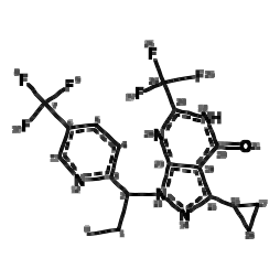 CCC(c1ccc(C(F)(F)F)cn1)n1nc(C2CC2)c2c(=O)[nH]c(C(F)(F)F)nc21